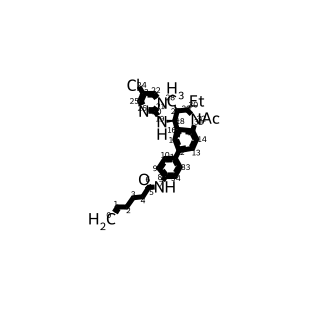 C=CCCCC(=O)Nc1ccc(-c2ccc3c(c2)[C@@H](Nc2ncc(Cl)cn2)[C@H](C)[C@H](CC)N3C(C)=O)cc1